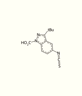 CC(C)(C)c1nn(C(=O)O)c2ccc(N=C=S)cc12